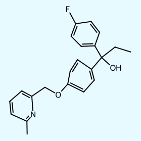 CCC(O)(c1ccc(F)cc1)c1ccc(OCc2cccc(C)n2)cc1